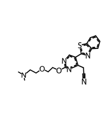 CN(C)CCOCCOc1ncc(-c2nc3ccccc3s2)c(CC#N)n1